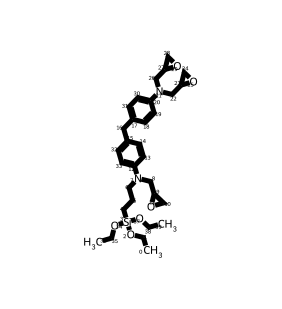 CCO[Si](CCCN(CC1CO1)c1ccc(Cc2ccc(N(CC3CO3)CC3CO3)cc2)cc1)(OCC)OCC